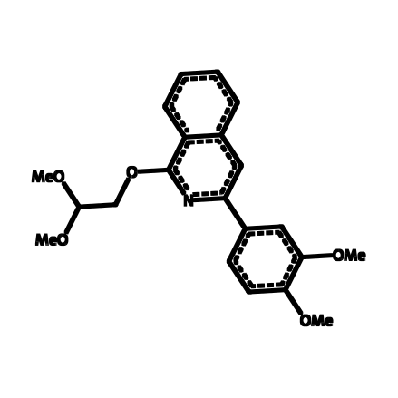 COc1ccc(-c2cc3ccccc3c(OCC(OC)OC)n2)cc1OC